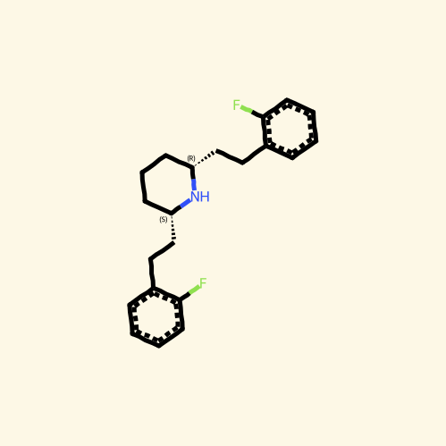 Fc1ccccc1CC[C@H]1CCC[C@@H](CCc2ccccc2F)N1